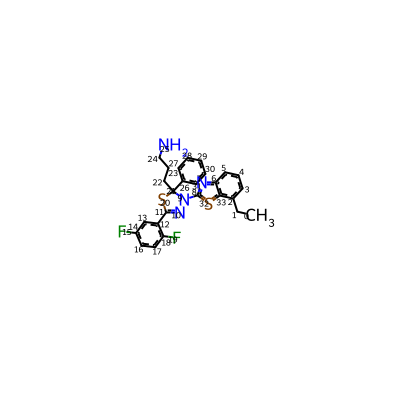 CCc1cccc2nc(N3N=C(c4cc(F)ccc4F)SC3(CCCN)c3ccccc3)sc12